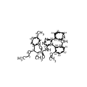 CCO[C@@H](c1cnc(C)cn1)[C@@H](C)S(=O)(=O)Nc1nnc(-c2c#ccnc2)n1-c1c(O)cccc1OC